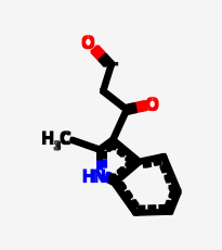 Cc1[nH]c2ccccc2c1C(=O)C[C]=O